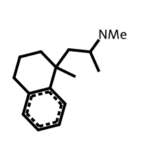 CNC(C)CC1(C)CCCc2ccccc21